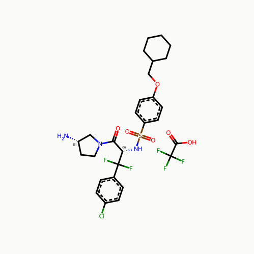 N[C@H]1CCN(C(=O)[C@H](NS(=O)(=O)c2ccc(OCC3CCCCC3)cc2)C(F)(F)c2ccc(Cl)cc2)C1.O=C(O)C(F)(F)F